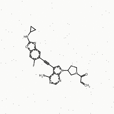 C=CC(=O)N1CCC(n2cc(C#Cc3cc4nc(NC5CC5)oc4cc3F)c3c(N)ncnc32)C1